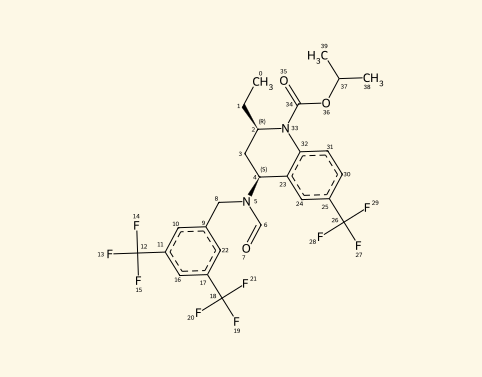 CC[C@@H]1C[C@H](N(C=O)Cc2cc(C(F)(F)F)cc(C(F)(F)F)c2)c2cc(C(F)(F)F)ccc2N1C(=O)OC(C)C